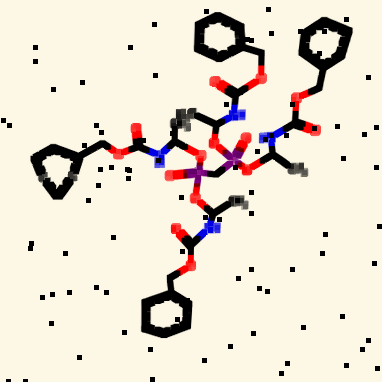 CC(NC(=O)OCc1ccccc1)OP(=O)(CP(=O)(OC(C)NC(=O)OCc1ccccc1)OC(C)NC(=O)OCc1ccccc1)OC(C)NC(=O)OCc1ccccc1